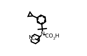 CC(C)(c1cccc(C2CC2)c1)N(C(=O)O)C1CN2CCC1CC2